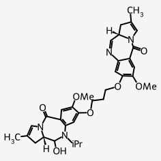 COc1cc2c(cc1OCCCOc1cc3c(cc1OC)C(=O)N1C=C(C)C[C@H]1C(O)N3C(C)C)N=C[C@@H]1CC(C)=CN1C2=O